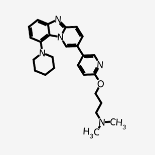 CN(C)CCCOc1ccc(-c2ccc3nc4cccc(N5CCCCC5)c4n3c2)cn1